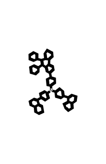 c1ccc(-c2c(-c3ccccc3)c3cc(-c4ccc(N(c5ccc(-c6cccc7ccccc67)cc5)c5ccc(-c6cccc7ccccc67)cc5)cc4)ccc3c3ccccc23)cc1